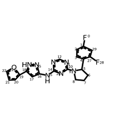 Fc1ccc(C2CCCN2c2ncnc(Nc3cc(-c4ccco4)[nH]n3)n2)c(F)c1